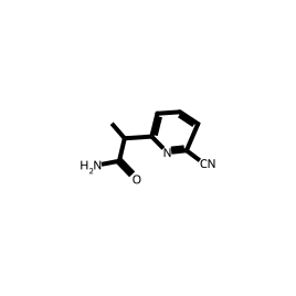 CC(C(N)=O)c1cccc(C#N)n1